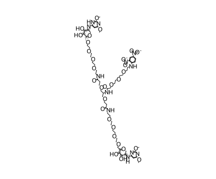 COc1cc(N[C@@H]2CO[C@H](COCCOCCOCCOCCNC(=O)CCOCC(COCCC(=O)NCCOCCOCCOCCOC[C@H]3OC[C@@H](Nc4cc(OC)nc(OC)n4)[C@@H](O)[C@H]3O)NC(=O)COCCOCCOCCNc3ccc([N+](=O)[O-])cc3[N+](=O)[O-])[C@H](O)[C@@H]2O)nc(OC)n1